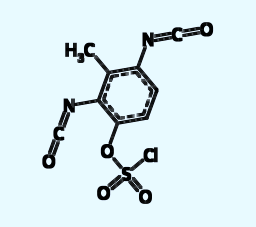 Cc1c(N=C=O)ccc(OS(=O)(=O)Cl)c1N=C=O